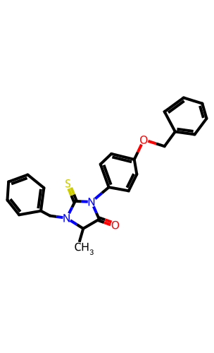 CC1C(=O)N(c2ccc(OCc3ccccc3)cc2)C(=S)N1Cc1ccccc1